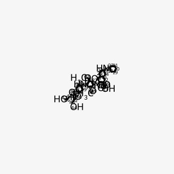 COc1cc(Nc2c(S(=O)(=O)O)cc3cc(Nc4ccccc4)ccc3c2O)c(OC)cc1Nc1ccc(S(=O)(=O)N(CCO)CCO)cc1